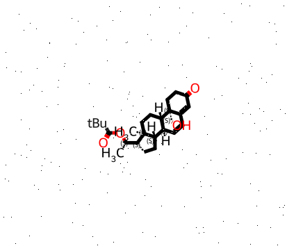 C[C@H](OC(=O)C(C)(C)C)[C@H]1CC[C@H]2[C@@H]3C=CC4=CC(=O)CC[C@]4(CO)[C@H]3CC[C@]12C